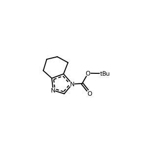 CC(C)(C)OC(=O)n1cnc2c1CCCC2